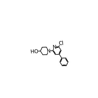 OC1CCN(c2cc(-c3ccccc3)cc(Cl)n2)CC1